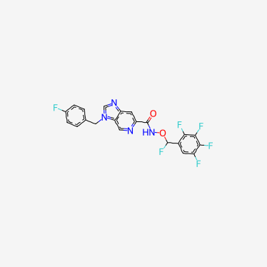 O=C(NOC(F)c1cc(F)c(F)c(F)c1F)c1cc2ncn(Cc3ccc(F)cc3)c2cn1